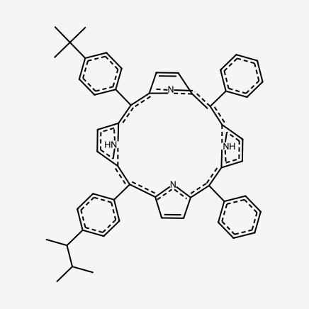 CC(C)C(C)c1ccc(-c2c3nc(c(-c4ccccc4)c4ccc([nH]4)c(-c4ccccc4)c4nc(c(-c5ccc(C(C)(C)C)cc5)c5ccc2[nH]5)C=C4)C=C3)cc1